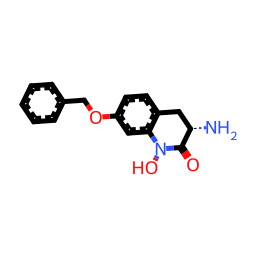 N[C@H]1Cc2ccc(OCc3ccccc3)cc2N(O)C1=O